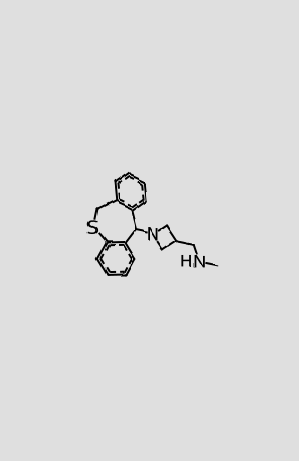 CNCC1CN(C2c3ccccc3CSc3ccccc32)C1